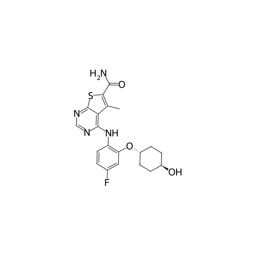 Cc1c(C(N)=O)sc2ncnc(Nc3ccc(F)cc3O[C@H]3CC[C@H](O)CC3)c12